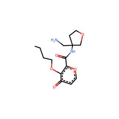 CCCCOc1c(C(=O)NC2(CN)CCOC2)occc1=O